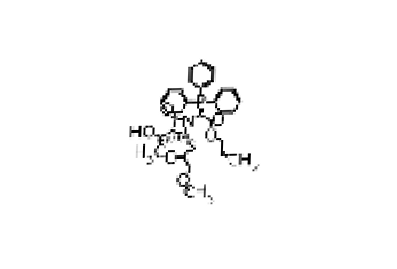 C=CCOC(=O)C(N1C(=O)[C@H]([C@@H](C)O)[C@H]1SC(=O)COC)=P(c1ccccc1)(c1ccccc1)c1ccccc1